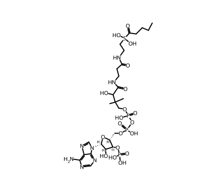 CCCCC(=O)S(O)(O)CCNC(=O)CCNC(=O)C(O)C(C)(C)COP(=O)(O)OP(=O)(O)OC[C@H]1O[C@@H](n2cnc3c(N)ncnc32)[C@H](O)[C@@H]1OP(=O)(O)O